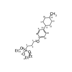 CCO[Si](CCCOc1ccc(C2CCC(C)CC2)cc1)(OCC)OCC